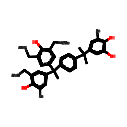 COCc1cc(C(C)(c2ccc(C(C)(C)c3cc(O)c(O)c(C(C)=O)c3)cc2)c2cc(COC)c(O)c(C(C)=O)c2)cc(COC)c1O